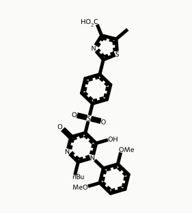 CCCCc1nc(=O)c(S(=O)(=O)c2ccc(-c3nc(C(=O)O)c(C)s3)cc2)c(O)n1-c1c(OC)cccc1OC